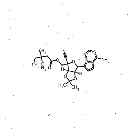 CCC(C)(C)CC(=O)OC[C@@]1(C#N)O[C@@H](c2ccc3c(N)ncnn23)[C@@H]2OC(C)(C)O[C@@H]21